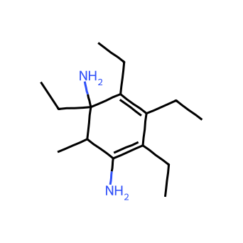 CCC1=C(N)C(C)C(N)(CC)C(CC)=C1CC